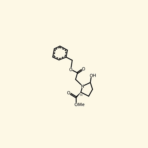 COC(=O)[C@@H]1CCC(O)N1CC(=O)OCc1ccccc1